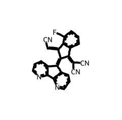 N#C/C=C1/C(=C2c3cccnc3-c3ncccc32)C(=C(C#N)C#N)c2cccc(F)c21